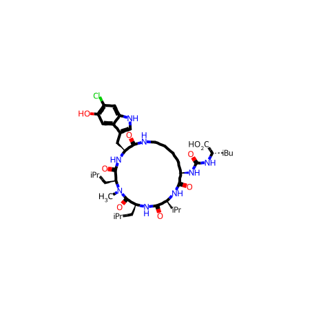 CCC(C)[C@H](NC(=O)N[C@@H]1CCCCNC(=O)[C@H](Cc2c[nH]c3cc(Cl)c(O)cc23)NC(=O)[C@H](CC(C)C)N(C)C(=O)[C@H](CC(C)C)NC(=O)[C@H](C(C)C)NC1=O)C(=O)O